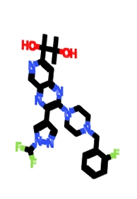 CC(C)(O)C(C)(O)c1cc2nc(N3CCN(Cc4ccccc4F)CC3)c(-c3cnn(C(F)F)c3)nc2cn1